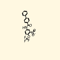 O=C(Nc1ccc(OC(F)(F)F)c([N+](=O)[O-])c1)c1ccc(-c2ccccc2)cc1